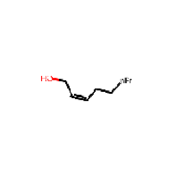 CCCCC/C=[C]\CO